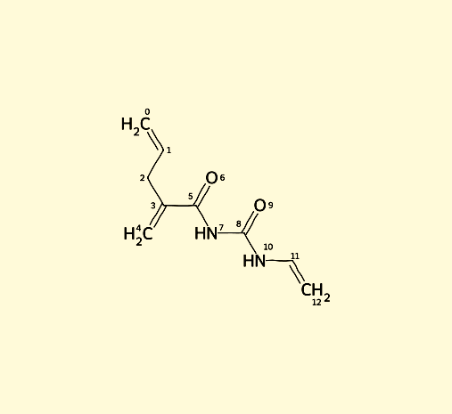 C=CCC(=C)C(=O)NC(=O)NC=C